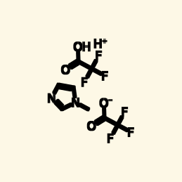 Cn1ccnc1.O=C(O)C(F)(F)F.O=C([O-])C(F)(F)F.[H+]